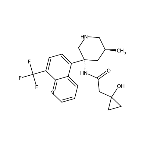 C[C@@H]1CNC[C@](NC(=O)CC2(O)CC2)(c2ccc(C(F)(F)F)c3ncccc23)C1